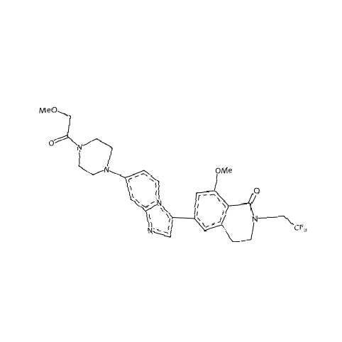 COCC(=O)N1CCN(c2ccn3c(-c4cc5c(c(OC)c4)C(=O)N(CC(F)(F)F)CC5)cnc3c2)CC1